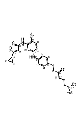 CCN(CC)CCNC(=O)CCc1ccc(Nc2ncc(Br)c(Nc3cc(C4CC4)on3)n2)cc1